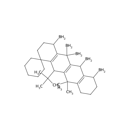 BC1CCCC2=C1C(B)C1=C(C(C(C)(C)C)C3=C(C(B)CCC34CCCCC4)C1(B)B)C2(C)C